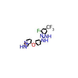 Fc1cc(C(F)(F)F)cc2[nH]c(Nc3ccc(OC4=CC=CN5SNC=C45)cc3)nc12